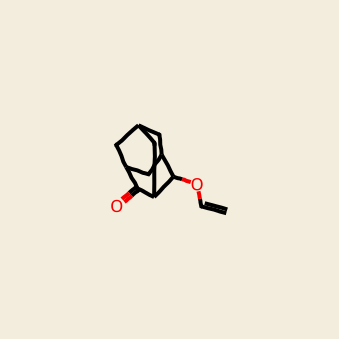 C=COC1C2CC3CC(C2)C(=O)C1C3